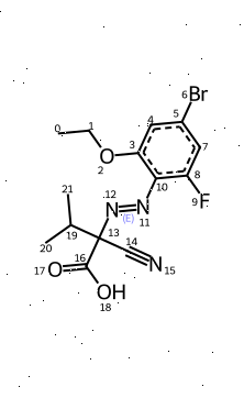 CCOc1cc(Br)cc(F)c1/N=N/C(C#N)(C(=O)O)C(C)C